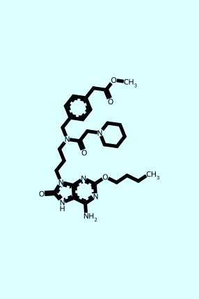 CCCCOc1nc(N)c2[nH]c(=O)n(CCCN(Cc3ccc(CC(=O)OC)cc3)C(=O)CN3CCCCC3)c2n1